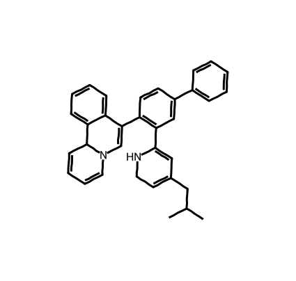 CC(C)CC1=CCNC(c2cc(-c3ccccc3)ccc2C2=CN3C=CC=CC3c3ccccc32)=C1